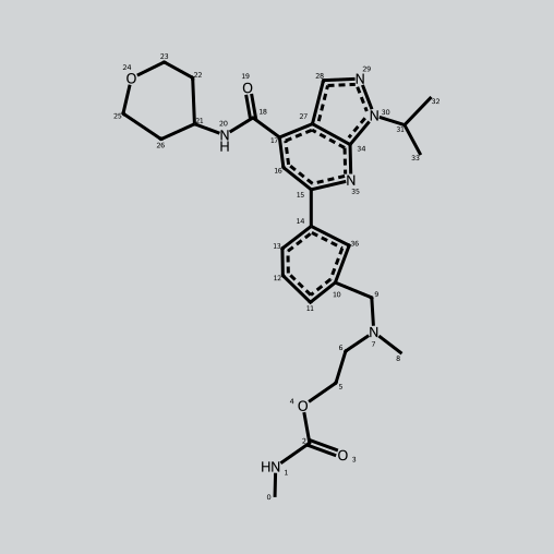 CNC(=O)OCCN(C)Cc1cccc(-c2cc(C(=O)NC3CCOCC3)c3cnn(C(C)C)c3n2)c1